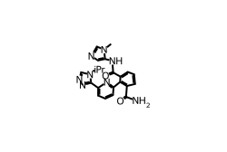 CC(C)n1cnnc1-c1cccc(-c2c(C(N)=O)cccc2C(=O)Nc2cncn2C)n1